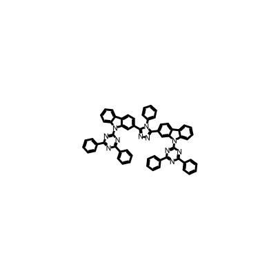 c1ccc(-c2nc(-c3ccccc3)nc(-n3c4ccccc4c4ccc(-c5nnc(-c6ccc7c8ccccc8n(-c8nc(-c9ccccc9)nc(-c9ccccc9)n8)c7c6)n5-c5ccccc5)cc43)n2)cc1